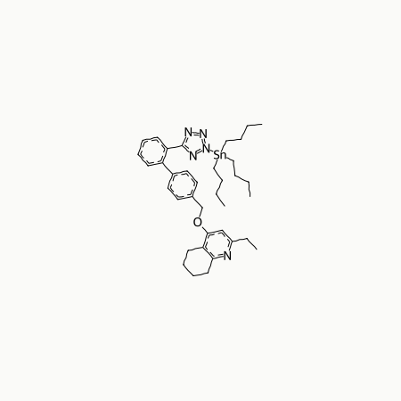 CCC[CH2][Sn]([CH2]CCC)([CH2]CCC)[n]1nnc(-c2ccccc2-c2ccc(COc3cc(CC)nc4c3CCCC4)cc2)n1